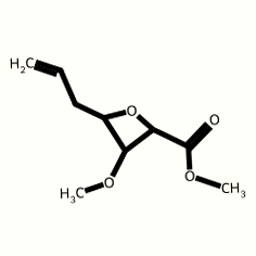 C=CCC1OC(C(=O)OC)C1OC